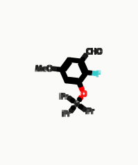 COc1cc(C=O)c(F)c(O[Si](C(C)C)(C(C)C)C(C)C)c1